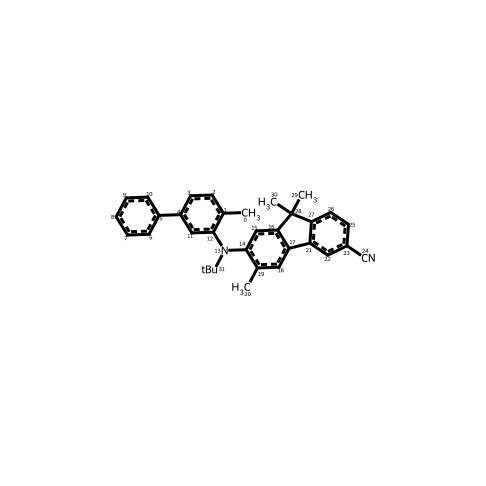 Cc1ccc(-c2ccccc2)cc1N(c1cc2c(cc1C)-c1cc(C#N)ccc1C2(C)C)C(C)(C)C